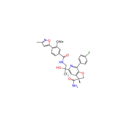 COc1cc(C(=O)NCC(O)(c2cc3c(c(-c4ccc(F)cc4)n2)OC[C@]3(C)C(N)=O)C(F)(F)F)ccc1-c1cc(C)no1